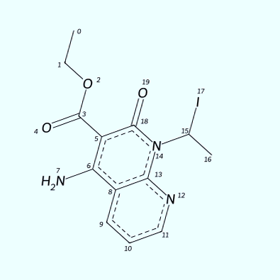 CCOC(=O)c1c(N)c2cccnc2n(C(C)I)c1=O